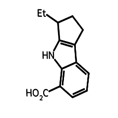 CCC1CCc2c1[nH]c1c(C(=O)O)cccc21